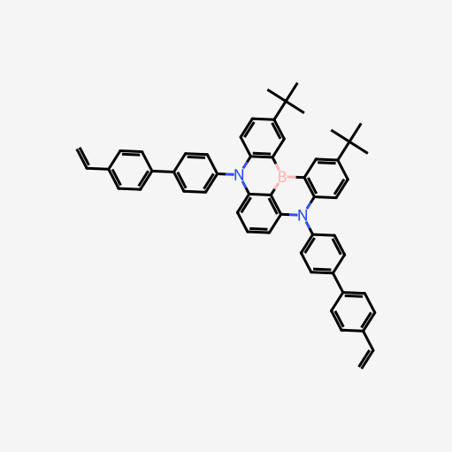 C=Cc1ccc(-c2ccc(N3c4ccc(C(C)(C)C)cc4B4c5cc(C(C)(C)C)ccc5N(c5ccc(-c6ccc(C=C)cc6)cc5)c5cccc3c54)cc2)cc1